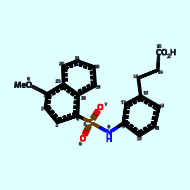 COc1ccc(S(=O)(=O)Nc2cccc(CCC(=O)O)c2)c2ccccc12